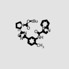 Cc1ccc(-c2noc([C@@H]3CCCN3C(=O)OC(C)(C)C)n2)cc1NC(=O)c1cnc2ccccn12